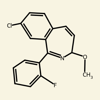 COC1C=Cc2ccc(Cl)cc2C(c2ccccc2F)=N1